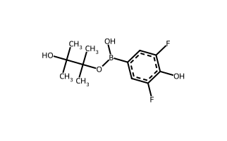 CC(C)(O)C(C)(C)OB(O)c1cc(F)c(O)c(F)c1